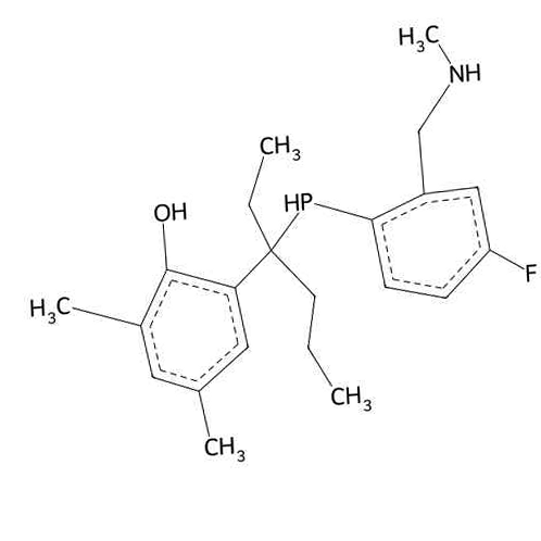 CCCC(CC)(Pc1ccc(F)cc1CNC)c1cc(C)cc(C)c1O